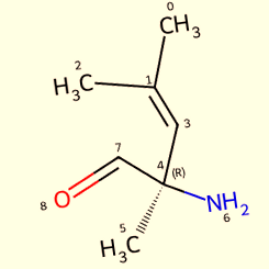 CC(C)=C[C@@](C)(N)C=O